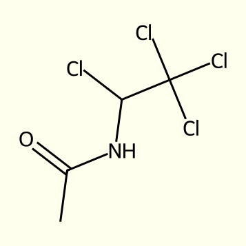 CC(=O)NC(Cl)C(Cl)(Cl)Cl